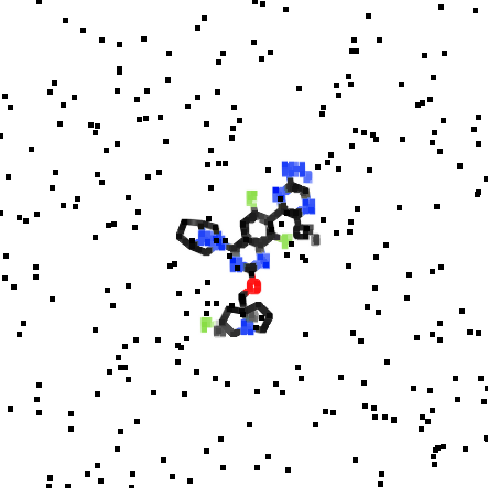 Nc1cnc(C(F)(F)F)c(-c2c(F)cc3c(N4CC5CCC(C4)N5)nc(OC[C@@]45CCCN4C[C@H](F)C5)nc3c2F)n1